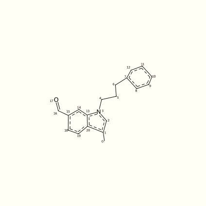 Cc1cn(CCCc2ccccc2)c2cc(C=O)ccc12